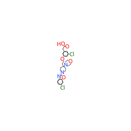 O=C(O)Cc1cc(Cl)cc(OCCC2(N3CCOCC3)CCN(c3nc4ccc(Cl)cc4o3)CC2)c1